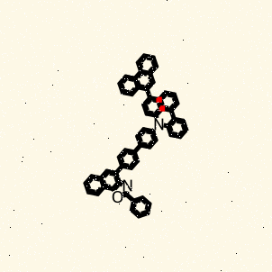 c1ccc(-c2nc3c(-c4ccc(-c5ccc(N(c6ccc(-c7cc8ccccc8c8ccccc78)cc6)c6ccccc6-c6ccccc6)cc5)cc4)cc4ccccc4c3o2)cc1